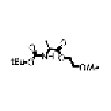 COCCOC(=O)[C@H](C)NC(=O)OC(C)(C)C